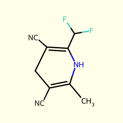 CC1=C(C#N)CC(C#N)=C(C(F)F)N1